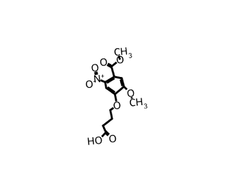 COC(=O)c1cc(OC)c(OCCCC(=O)O)cc1[N+](=O)[O-]